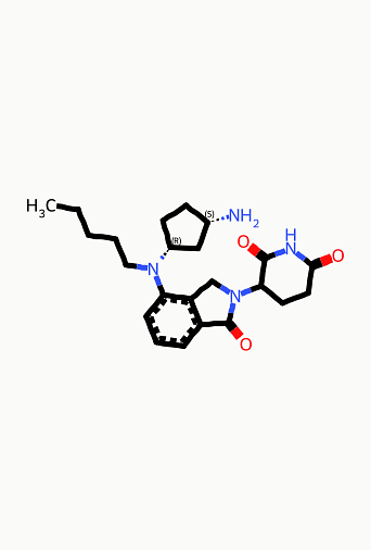 CCCCCN(c1cccc2c1CN(C1CCC(=O)NC1=O)C2=O)[C@@H]1CC[C@H](N)C1